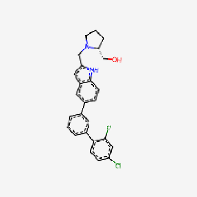 OC[C@H]1CCCN1Cc1cc2cc(-c3cccc(-c4ccc(Cl)cc4Cl)c3)ccc2[nH]1